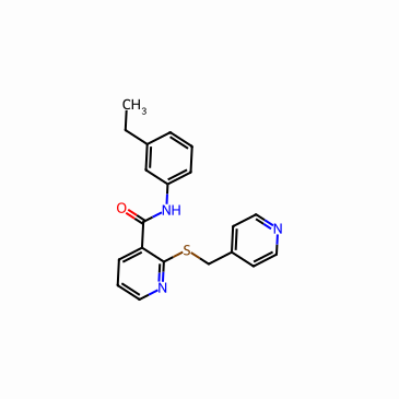 CCc1cccc(NC(=O)c2cccnc2SCc2ccncc2)c1